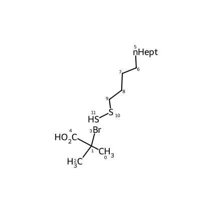 CC(C)(Br)C(=O)O.CCCCCCCCCCCSS